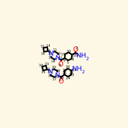 NC(=O)C1CCC(C(=O)N2CCN(C3CCC3)CC2)CC1.NC1CCC(C(=O)N2CCN(C3CCC3)CC2)CC1